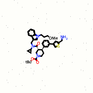 COCCCn1cc(CN(C(=O)[C@H]2CN(C(=O)OC(C)(C)C)CC[C@@H]2c2cccc(-c3csc(CN)c3)c2)C2CC2)c2ccccc21